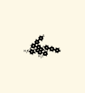 Cc1ccc(F)c(N(c2cc(-c3ccc(-c4ccc(F)cc4)cc3)ccc2F)c2cc3cccc4c(N(c5cc(C)ccc5F)c5cc(-c6ccc(-c7ccc(F)cc7)cc6)ccc5F)cc5cccc2c5c34)c1